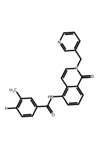 Cc1cc(C(=O)Nc2cccc3c(=O)n(Cc4cccnc4)ccc23)ccc1F